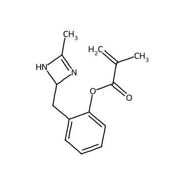 C=C(C)C(=O)Oc1ccccc1CC1N=C(C)N1